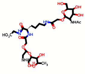 CC(=O)NCC(OCC(=O)N[C@@H](CCCCNC(=O)COC1OC(CO)C(O)C(O)C1NC(C)=O)C(=O)NCC(=O)O)OC(CO)C(O)C(C)O